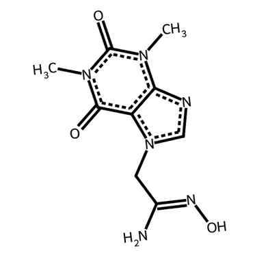 Cn1c(=O)c2c(ncn2CC(N)=NO)n(C)c1=O